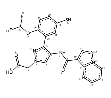 O=C(O)Cn1cc(NC(=O)c2cnn3cccnc23)c(-c2cc(S)ccc2OC(F)F)n1